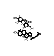 CC(C)=CC/C=C(/C)[C@H]1CC[C@]2(C)[C@@H]1[C@H](O)C[C@@H]1[C@@]3(C)CC[C@H](O)C(C)(C)[C@@H]3[C@@H](O[C@@H]3O[C@H](CO)[C@@H](O)[C@H](O)[C@H]3O[C@H]3[C@H](O)[C@@H](O)[C@H](C)O[C@H]3O)C[C@]12C